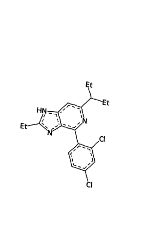 CCc1nc2c(-c3ccc(Cl)cc3Cl)nc(C(CC)CC)cc2[nH]1